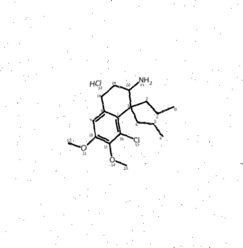 CCCC1(CCC)c2c(cc(OC)c(OC)c2Cl)CCC1N.Cl